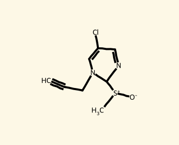 C#CCN1C=C(Cl)C=NC1[S+](C)[O-]